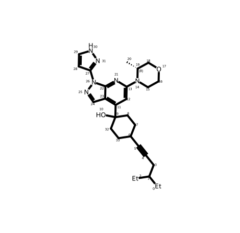 CCC(CC)CC#CC1CCC(O)(c2cc(N3CCOC[C@H]3C)nc3c2cnn3-c2cc[nH]n2)CC1